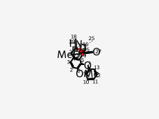 COc1ccc2c(c1Oc1ccccc1)[C@]13CCN(C)[C@H](C2)C1(OC)C[C@H](C)C(=O)C3